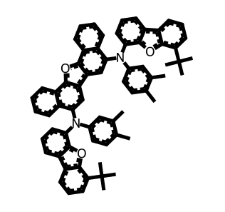 Cc1ccc(N(c2cc3c4cc(N(c5ccc(C)c(C)c5)c5cccc6c5oc5c(C(C)(C)C)cccc56)c5ccccc5c4oc3c3ccccc23)c2cccc3c2oc2c(C(C)(C)C)cccc23)cc1C